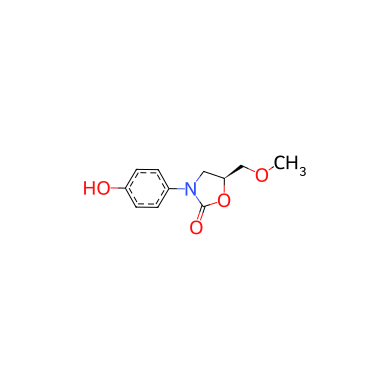 COC[C@@H]1CN(c2ccc(O)cc2)C(=O)O1